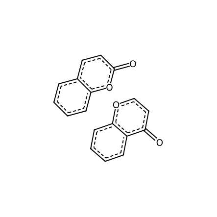 O=c1ccc2ccccc2o1.O=c1ccoc2ccccc12